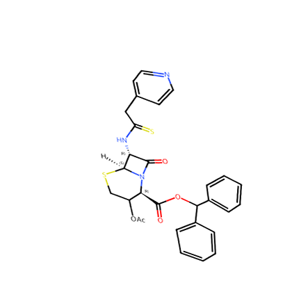 CC(=O)OC1CS[C@H]2[C@H](NC(=S)Cc3ccncc3)C(=O)N2[C@H]1C(=O)OC(c1ccccc1)c1ccccc1